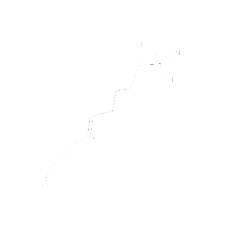 CCCCC=CCCCCC(C)(C)N